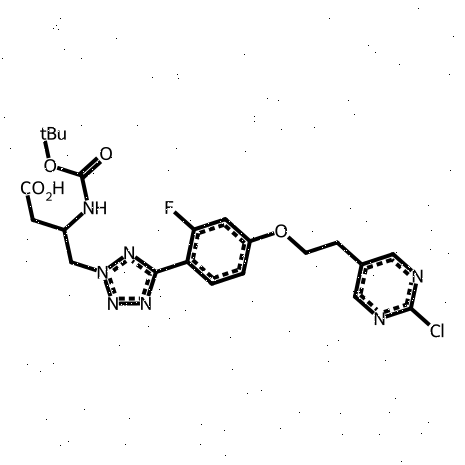 CC(C)(C)OC(=O)NC(CC(=O)O)Cn1nnc(-c2ccc(OCCc3cnc(Cl)nc3)cc2F)n1